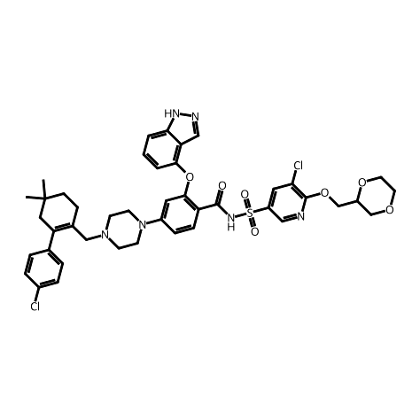 CC1(C)CCC(CN2CCN(c3ccc(C(=O)NS(=O)(=O)c4cnc(OCC5COCCO5)c(Cl)c4)c(Oc4cccc5[nH]ncc45)c3)CC2)=C(c2ccc(Cl)cc2)C1